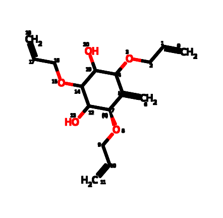 C=CCOC1C(=C)[C@@H](OCC=C)C(O)C(OCC=C)C1O